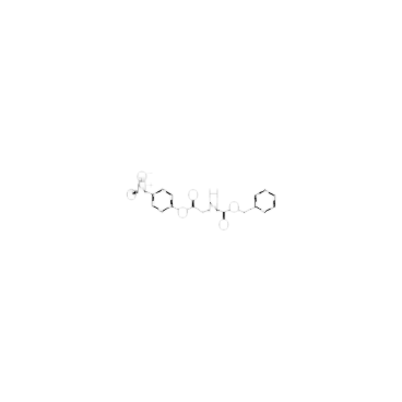 O=C(CNC(=O)OCc1ccccc1)Oc1ccc([N+](=O)[O-])cc1